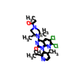 C=CC(=O)N1C[C@H](C)N(c2nc(=O)n(-c3c(C)ccnc3C(C)C)c3nc(Cl)c(Cl)cc23)[C@@H](C)C1